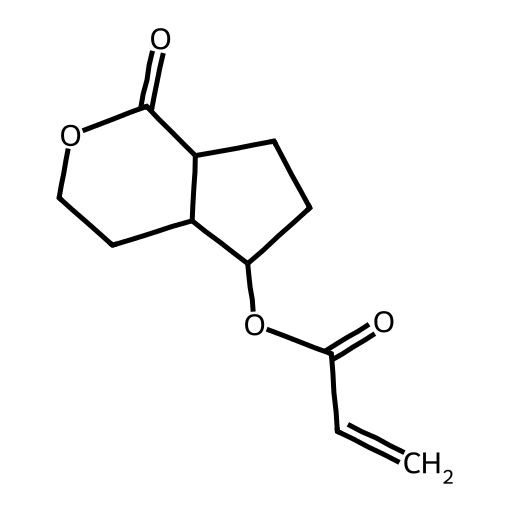 C=CC(=O)OC1CCC2C(=O)OCCC12